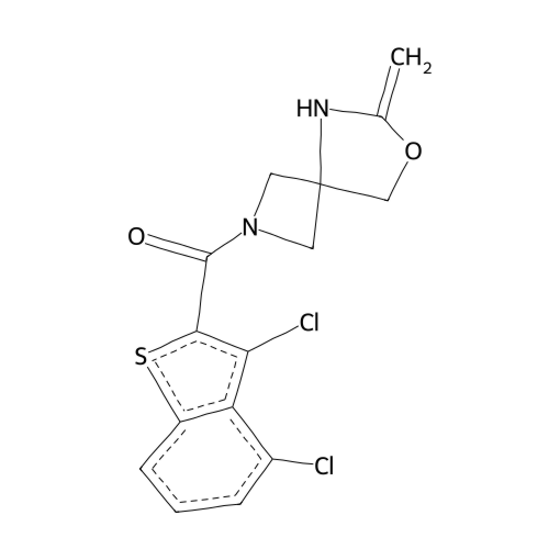 C=C1NC2(CO1)CN(C(=O)c1sc3cccc(Cl)c3c1Cl)C2